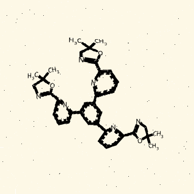 CC1(C)CN=C(c2cccc(-c3cc(-c4cccc(C5=NCC(C)(C)O5)n4)cc(-c4cccc(C5=NCC(C)(C)O5)n4)c3)n2)O1